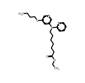 CCCCOc1cncc(N(CCCCCCC(=O)OCC)c2ccccn2)c1